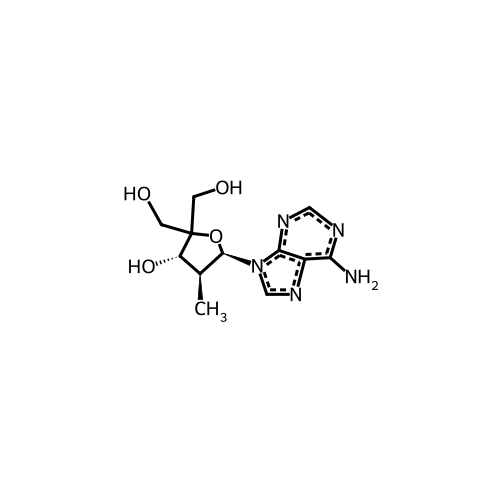 C[C@@H]1[C@H](n2cnc3c(N)ncnc32)OC(CO)(CO)[C@H]1O